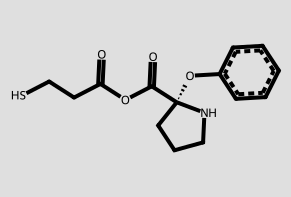 O=C(CCS)OC(=O)[C@]1(Oc2ccccc2)CCCN1